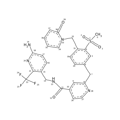 CS(=O)(=O)c1cc(Cc2cc(C(=O)NCc3ccc(N)nc3C(F)(F)F)ccn2)ccc1Cn1ccccc1=O